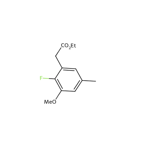 CCOC(=O)Cc1cc(C)cc(OC)c1F